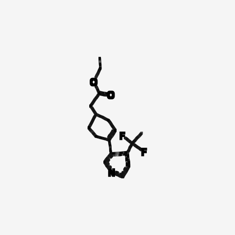 CCOC(=O)CC1CC=C(c2cnccc2C(C)(F)F)CC1